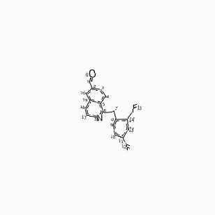 O=Cc1ccc2c(Cc3ccc(F)cc3F)nccc2c1